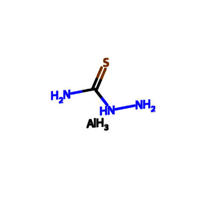 NNC(N)=S.[AlH3]